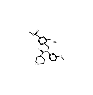 COC(=O)c1ccc(CN(C(=O)N2CCNCC2)c2cccc(OC)c2)c(F)c1.Cl